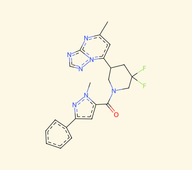 Cc1cc(C2CN(C(=O)c3cc(-c4ccccc4)nn3C)CC(F)(F)C2)n2ncnc2n1